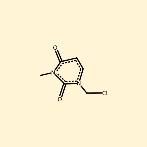 Cn1c(=O)ccn([CH]Cl)c1=O